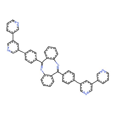 c1cncc(-c2cncc(-c3ccc(/C4=N/c5ccccc5/C(c5ccc(-c6cncc(-c7cccnc7)c6)cc5)=N\c5ccccc54)cc3)c2)c1